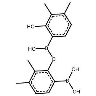 Cc1ccc(B(O)Oc2c(B(O)O)ccc(C)c2C)c(O)c1C